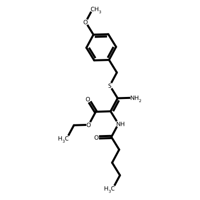 CCCCC(=O)N/C(C(=O)OCC)=C(\N)SCc1ccc(OC)cc1